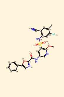 COc1ncc(NC(=O)c2ncc(-c3ccccc3)o2)cc1S(=O)(=O)Nc1cc(F)c(C)cc1C#N